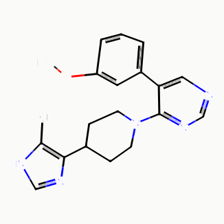 Cc1[nH]cnc1C1CCN(c2ncncc2-c2cccc(OC(F)(F)F)c2)CC1